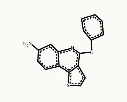 Nc1ccc2c(c1)nc(Oc1ccccc1)c1ccsc12